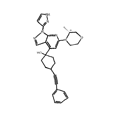 C[C@@H]1COCCN1c1cc(C2(O)CCC(C#Cc3ccccc3)CC2)c2cnn(-c3cc[nH]n3)c2n1